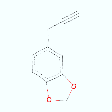 C#CCc1ccc2c(c1)OCO2